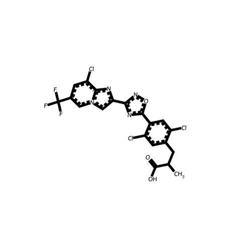 CC(Cc1cc(Cl)c(-c2nc(-c3cn4cc(C(F)(F)F)cc(Cl)c4n3)no2)cc1Cl)C(=O)O